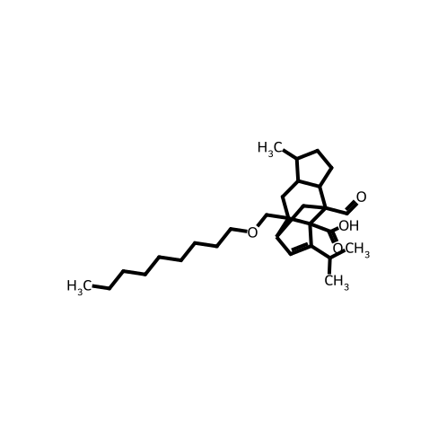 CCCCCCCCCOCC12CC3C(C)CCC3C3(C=O)CC1C=C(C(C)C)C32C(=O)O